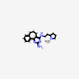 CN1CCCC1CCNc1nc(N)nc2c1CCCc1ccccc1-2